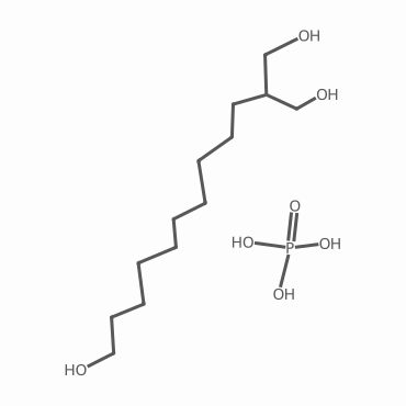 O=P(O)(O)O.OCCCCCCCCCCC(CO)CO